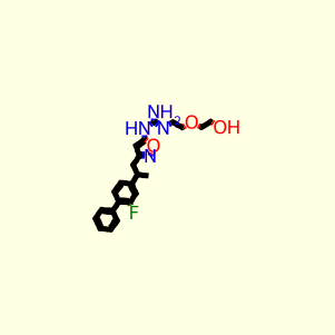 CC(Cc1cc(NC(N)=NCCOCCO)on1)c1ccc(-c2ccccc2)c(F)c1